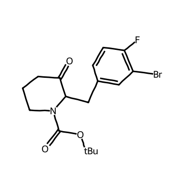 CC(C)(C)OC(=O)N1CCCC(=O)C1Cc1ccc(F)c(Br)c1